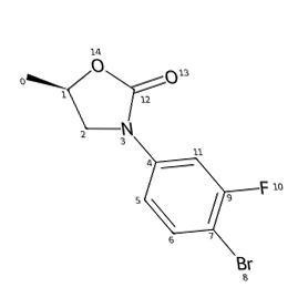 C[C@@H]1CN(c2ccc(Br)c(F)c2)C(=O)O1